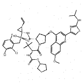 C=C[C@@H]1C[C@]1(NC(=O)[C@@H]1C[C@@H](Oc2cc(-c3csc(NC(C)C)n3)nc3cc(OC)ccc23)CN1C(=O)[C@@H](NC(=O)OC1CCCC1)C(C)(C)C)P(=O)(O)Cc1c(F)ccc(Cl)c1Cl